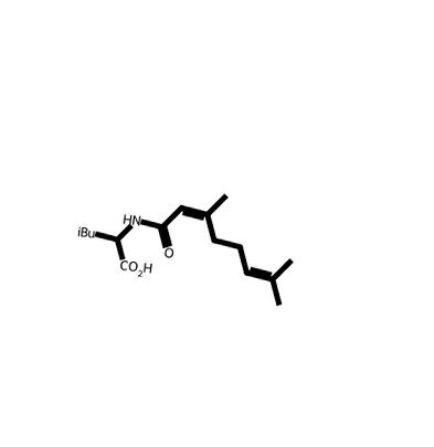 CCC(C)C(NC(=O)C=C(C)CCC=C(C)C)C(=O)O